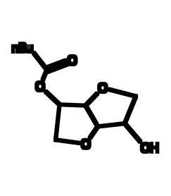 CCCCC(=O)OC1COC2C(O)COC12